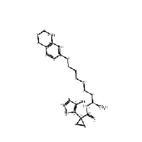 O=C(O)[C@H](CCOCCCCc1ccc2c(n1)NCCC2)NC(=O)C1(c2[nH]ncc2Cl)CC1